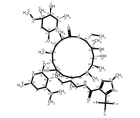 CC[C@H]1OC(=O)[C@H](C)[C@@H](O[C@H]2C[C@@](C)(OC)[C@@H](O)[C@H](C)O2)[C@H](C)[C@@H](O[C@@H]2O[C@H](C)C[C@H](N(C)C)[C@H]2OCCCNC(=O)c2cn(C)nc2C(F)(F)F)[C@](C)(O)C[C@@H](C)CN(C)[C@H](C)[C@@H](O)[C@]1(C)O